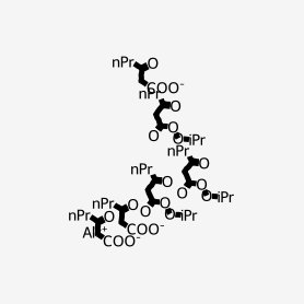 CCCC(=O)CC(=O)OOC(C)C.CCCC(=O)CC(=O)OOC(C)C.CCCC(=O)CC(=O)OOC(C)C.CCCC(=O)CC(=O)[O-].CCCC(=O)CC(=O)[O-].CCCC(=O)CC(=O)[O-].[Al+3]